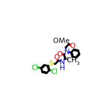 COC(=O)CN(C(=O)[C@H](C)NC(=O)CSc1cc(Cl)ccc1Cl)c1ccccc1